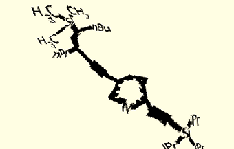 CCCC/C(=C(\C#Cc1ccc(C#C[Si](C(C)C)(C(C)C)C(C)C)nc1)CCC)[Si](C)(C)C